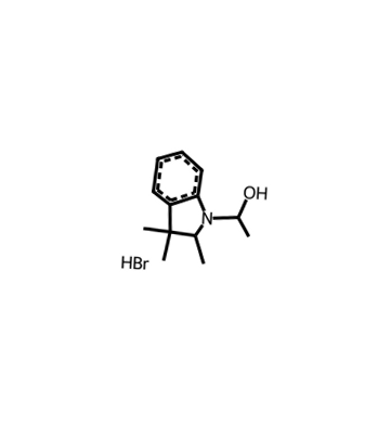 Br.CC(O)N1c2ccccc2C(C)(C)C1C